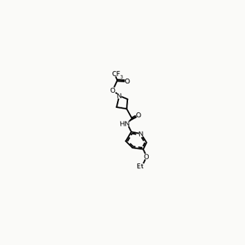 CCOc1ccc(NC(=O)C2CN(OC(=O)C(F)(F)F)C2)nc1